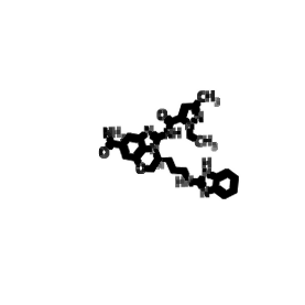 CCn1nc(C)cc1C(=O)Nc1nc2cc(C(N)=O)cc3c2n1[C@@H](CCCNc1nc2ccccc2[nH]1)CO3